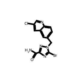 NC(=O)c1nc(Br)n(Cc2ccc3ncc(Cl)cc3c2)n1